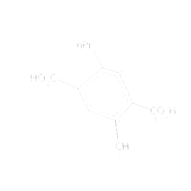 CCCc1cc(C(=O)O)c(C)cc1C(=O)O